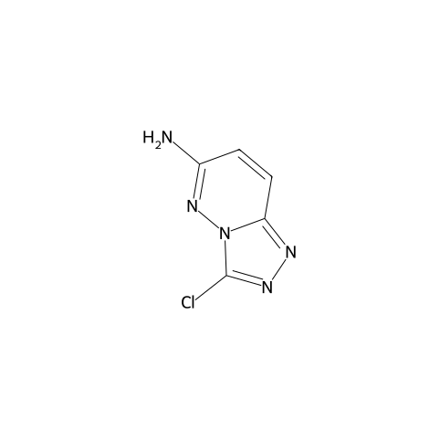 Nc1ccc2nnc(Cl)n2n1